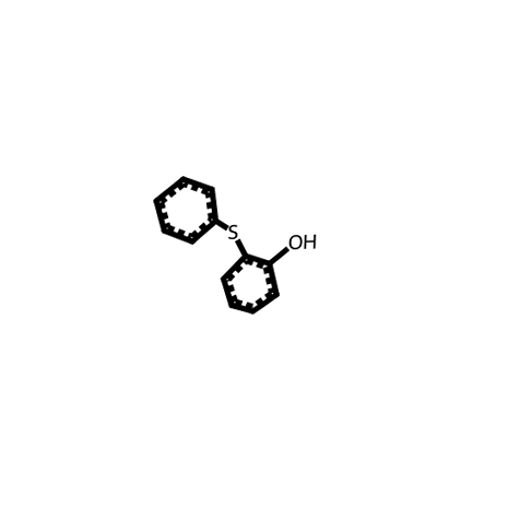 Oc1ccccc1Sc1ccccc1